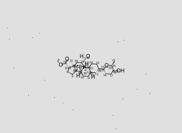 COC(=O)[C@H]1CC[C@@]2(N)[C@@H]3CC[C@@H]4C[C@@H]([C@H]5CC[C@@H](O)[C@H](C)O5)CC[C@]4(C)[C@H]3CC[C@]12C.O